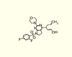 C=CCC(/C=C/O)c1nc(N2CCOCC2)nc2c1CCN2S(=O)(=O)c1ccc(F)cc1F